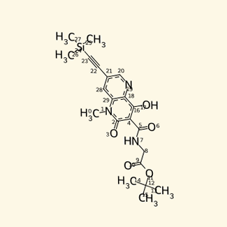 Cn1c(=O)c(C(=O)NCC(=O)OC(C)(C)C)c(O)c2ncc(C#C[Si](C)(C)C)cc21